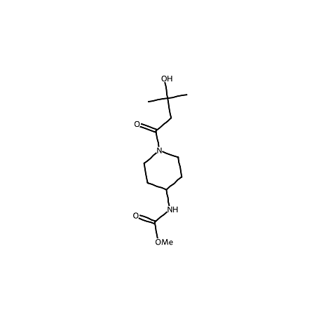 COC(=O)NC1CCN(C(=O)CC(C)(C)O)CC1